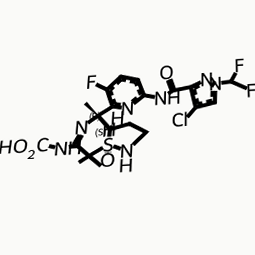 CC1(C)C(NC(=O)O)=N[C@](C)(c2nc(NC(=O)c3nn(C(F)F)cc3Cl)ccc2F)[C@@H]2CCN[SH]21=O